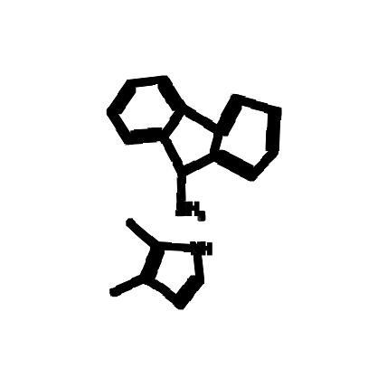 Cc1cc[nH]c1C.[SiH3]C1c2ccccc2-c2ccccc21